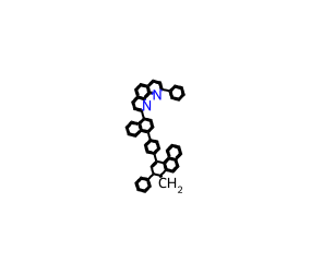 C=C1c2ccc3ccccc3c2C(c2ccc(-c3ccc(-c4ccc5ccc6ccc(-c7ccccc7)nc6c5n4)c4ccccc34)cc2)=CC1c1ccccc1